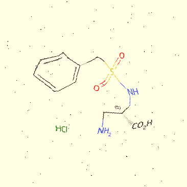 Cl.NC[C@H](NS(=O)(=O)Cc1ccccc1)C(=O)O